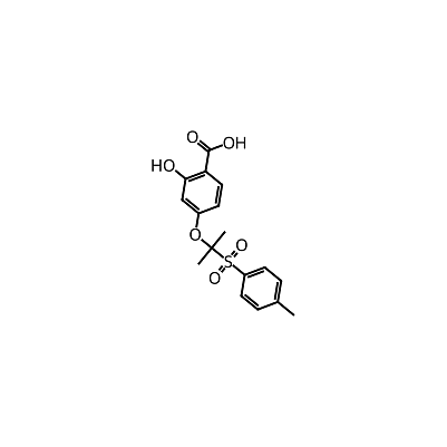 Cc1ccc(S(=O)(=O)C(C)(C)Oc2ccc(C(=O)O)c(O)c2)cc1